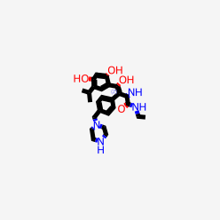 CCNC(=O)C(=N)/C(=C(\O)c1cc(C(C)C)c(O)cc1O)c1ccc(CN2CCNCC2)cc1